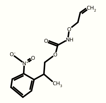 C=CCONC(=O)OCC(C)c1ccccc1[N+](=O)[O-]